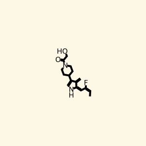 C=c1c(C2CCN(C(=O)CO)CC2)c[nH]/c1=C/C(F)=C\C